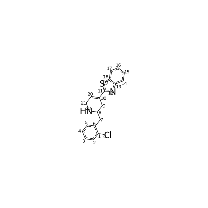 Clc1ccccc1CC1CC(c2nc3ccccc3s2)=CCN1